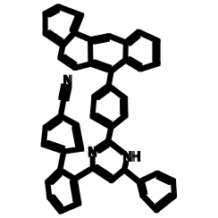 N#Cc1ccc(-c2ccccc2C2=CC(c3ccccc3)NC(c3ccc(-c4c5ccccc5cc5c4ccc4ccccc45)cc3)=N2)cc1